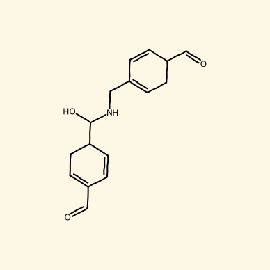 O=CC1=CCC(C(O)NCC2=CCC(C=O)C=C2)C=C1